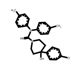 Cc1ccc(N(C(=N)N2CCC(O)(c3ccc(Cl)cc3)CC2)c2ccc(C)cc2)cc1